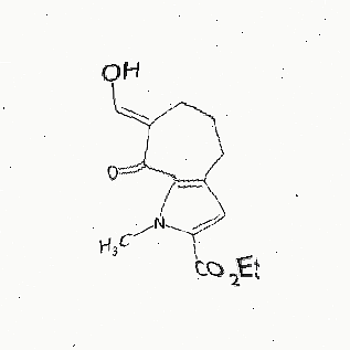 CCOC(=O)c1cc2c(n1C)C(=O)/C(=C/O)CCC2